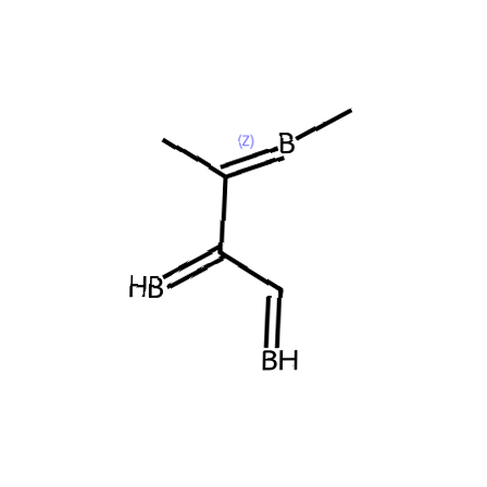 B=CC(=B)/C(C)=B\C